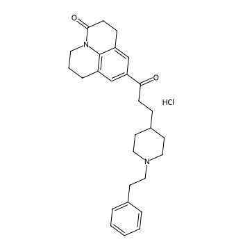 Cl.O=C(CCC1CCN(CCc2ccccc2)CC1)c1cc2c3c(c1)CCC(=O)N3CCC2